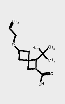 C=CCOC1CC2(C1)CN(C(=O)O)C2C(C)(C)C